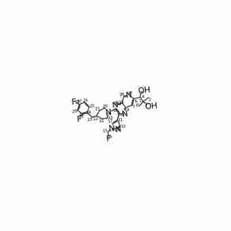 CC(C)(O)[C@H](O)c1cc2nc(-c3cnn(CF)c3)c(N3CCC(Cc4ccc(F)cc4F)CC3)nc2cn1